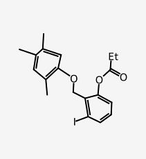 CCC(=O)Oc1cccc(I)c1COc1cc(C)c(C)cc1C